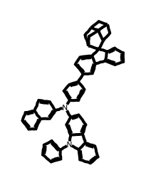 c1ccc(-n2c3ccccc3c3ccc(N(c4ccc(-c5ccc6c(c5)-c5ccccc5C65C6CC7CC(C6)CC5C7)cc4)c4ccc5ccccc5c4)cc32)cc1